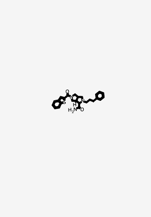 NC(=O)C1[C@@H]2CN(C(=O)c3cc4ccccc4s3)CC2CN1CC[CH]c1ccccc1